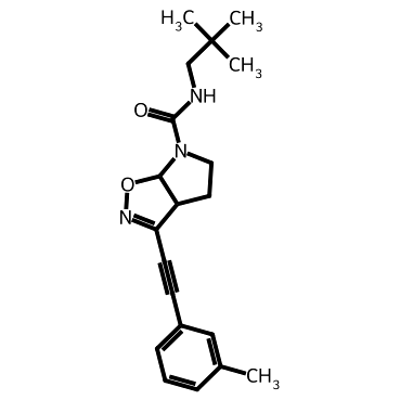 Cc1cccc(C#CC2=NOC3C2CCN3C(=O)NCC(C)(C)C)c1